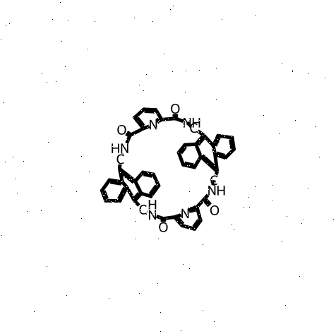 O=C1NCc2c3ccccc3c(c3ccccc23)CNC(=O)c2cccc(n2)C(=O)NCc2c3ccccc3c(c3ccccc23)CNC(=O)c2cccc1n2